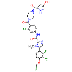 Cn1c(-c2ccc(OCF)c(Cl)c2F)cnc1C(=O)Nc1ccc(C(=O)N2CCN(C(=O)[C@@H]3C[C@@H](O)CN3)CC2)c(Cl)c1